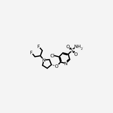 NS(=O)(=O)c1cnc(O[C@@H]2CCN(C(CF)CF)C2)c(Cl)c1